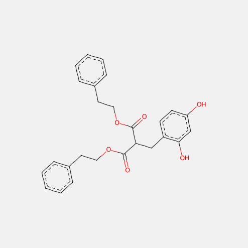 O=C(OCCc1ccccc1)C(Cc1ccc(O)cc1O)C(=O)OCCc1ccccc1